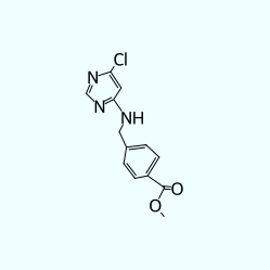 COC(=O)c1ccc(CNc2cc(Cl)ncn2)cc1